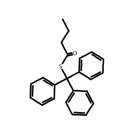 CCCC(=O)SC(c1ccccc1)(c1ccccc1)c1ccccc1